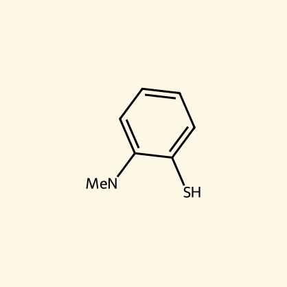 CNc1ccccc1S